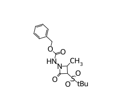 CC1C(S(=O)(=O)C(C)(C)C)C(=O)N1NC(=O)OCc1ccccc1